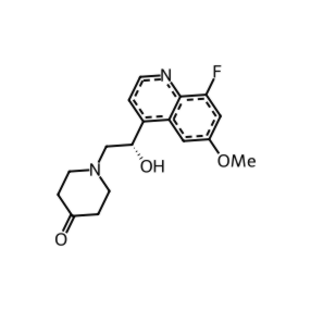 COc1cc(F)c2nccc([C@H](O)CN3CCC(=O)CC3)c2c1